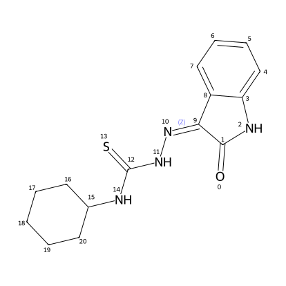 O=C1Nc2ccccc2/C1=N/NC(=S)NC1CCCCC1